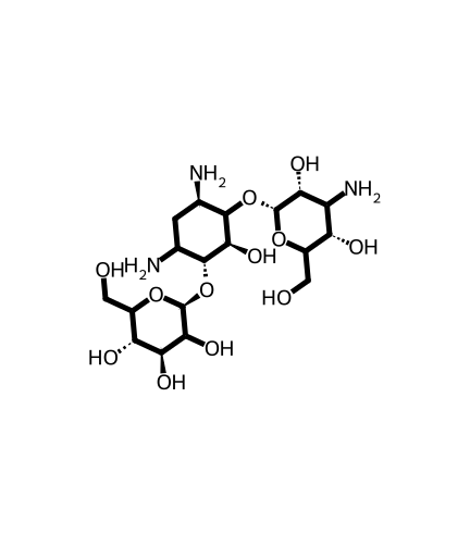 NC1[C@H](O)C(CO)O[C@H](OC2[C@H](N)CC(N)[C@@H](O[C@@H]3OC(CO)[C@@H](O)[C@H](O)C3O)[C@@H]2O)[C@@H]1O